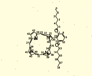 CCCCCCOc1cccc(OCCCCCC)c1C1=CC2=CC3=NC(=CC4=NC(=CC5=NC(=CC1=N2)C=C5)C=C4)C=C3